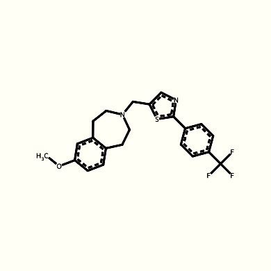 COc1ccc2c(c1)CCN(Cc1cnc(-c3ccc(C(F)(F)F)cc3)s1)CC2